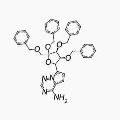 Nc1ncnn2c(C3O[C@@](COCc4ccccc4)(OCc4ccccc4)[C@@H](OCc4ccccc4)[C@H]3OCc3ccccc3)ccc12